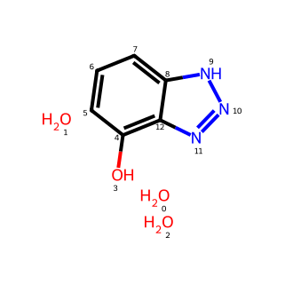 O.O.O.Oc1cccc2[nH]nnc12